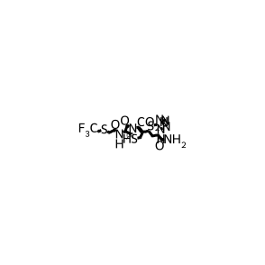 NC(=O)CCC(Sc1nnn[nH]1)C1=C(C(=O)O)N2C(=O)C(NC(=O)CSCC(F)(F)F)[C@@H]2SC1